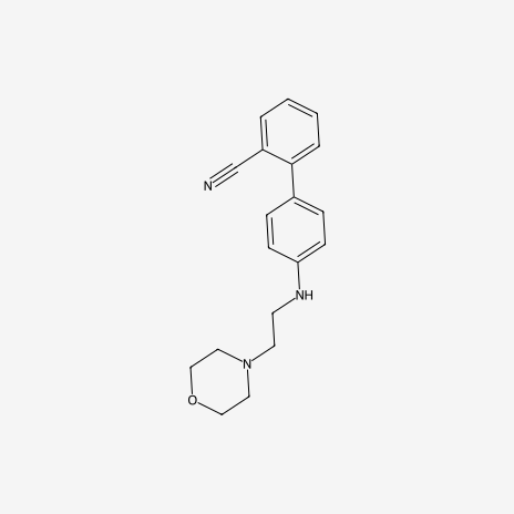 N#Cc1ccccc1-c1ccc(NCCN2CCOCC2)cc1